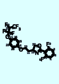 Fc1cccc(F)c1C1=NC(CCOc2ccc(OC(F)(F)C(F)C(F)(F)F)cc2)CO1